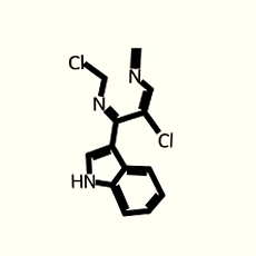 C=N/C=C(Cl)\C(=N/CCl)c1c[nH]c2ccccc12